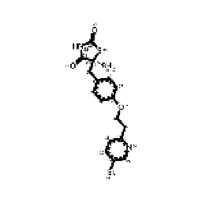 B[C@@]1(Cc2ccc(OCCc3ccc(CC)cn3)cc2)SC(=O)NC1=O